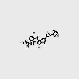 CCCS(=O)(=O)Nc1ccc(F)c(C(=O)c2c[nH]c3ncc(-c4cnn(-c5cnccn5)c4)cc23)c1F